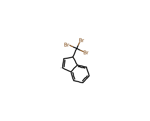 BrC(Br)(Br)C1C=[C]c2ccccc21